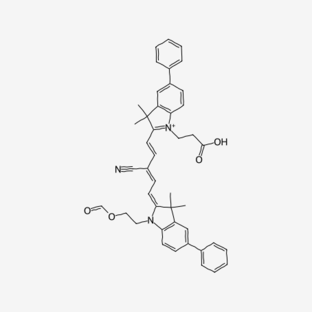 CC1(C)C(/C=C/C(C#N)=C/C=C2/N(CCOC=O)c3ccc(-c4ccccc4)cc3C2(C)C)=[N+](CCC(=O)O)c2ccc(-c3ccccc3)cc21